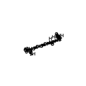 COP(=O)(O)OCC(COS)COCCOCCOCCOCCCNC(=O)CCCCC1SCC2NC(=O)NC21